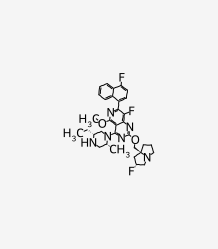 CC[C@@H]1CN(c2nc(OC[C@@]34CCCN3C[C@H](F)C4)nc3c(F)c(-c4ccc(F)c5ccccc45)nc(OC)c23)[C@H](C)CN1